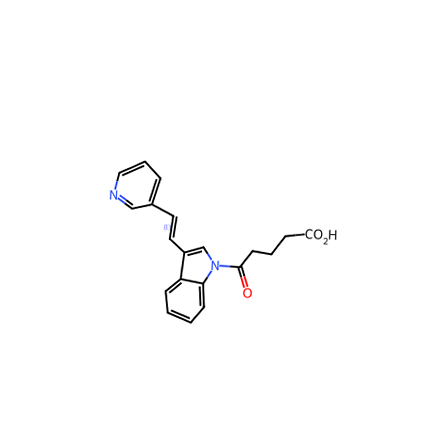 O=C(O)CCCC(=O)n1cc(/C=C/c2cccnc2)c2ccccc21